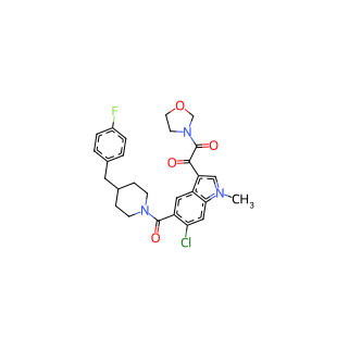 Cn1cc(C(=O)C(=O)N2CCOC2)c2cc(C(=O)N3CCC(Cc4ccc(F)cc4)CC3)c(Cl)cc21